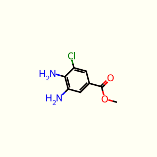 COC(=O)c1cc(N)c(N)c(Cl)c1